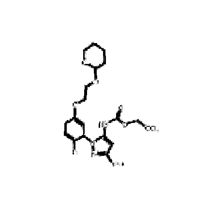 CC(C)(C)c1cc(NC(=O)OCC(Cl)(Cl)Cl)n(C2C=C(OCCOC3CCCCO3)CC=C2Cl)n1